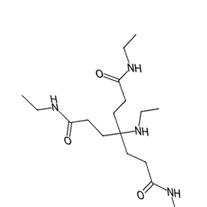 CCNC(=O)CCC(CCC(=O)NCC)(CCC(=O)NCC)NCC